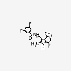 Cc1[nH]c2c(F)ccc(C)c2c1CCNC(=O)c1cc(F)cc(F)c1